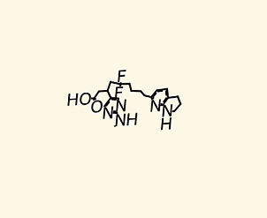 CNc1ncc(C(CC(=O)O)CC(F)(F)CCCCc2ccc3c(n2)NCCC3)cn1